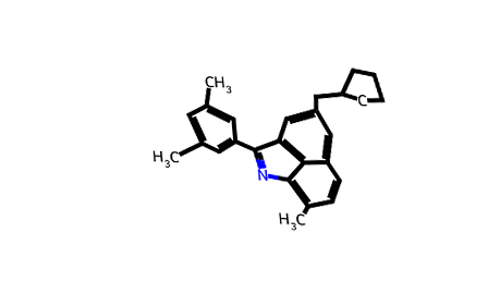 Cc1cc(C)cc(C2=Nc3c(C)ccc4cc(CC5CCCC5)cc2c34)c1